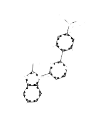 Cc1nc2ccccc2n1-c1ccnc(-c2ccc(N(C)C)cc2)n1